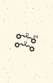 O=C(C=Cc1ccccc1)C=Cc1cccc[c]1[Pd].O=C(C=Cc1ccccc1)C=Cc1ccccc1